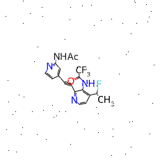 CC(=O)Nc1cc(C#Cc2nccc(C(C)F)c2NC(=O)C(F)(F)F)ccn1